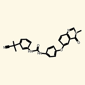 Cn1cnc2ccc(Oc3ccc(NC(=O)Nc4cccc(C(C)(C)C#N)c4)cc3)cc2c1=O